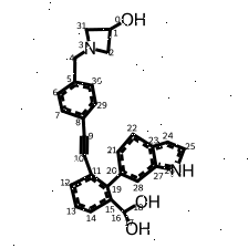 OC1CN(Cc2ccc(C#Cc3cccc(C(O)O)c3-c3ccc4cc[nH]c4c3)cc2)C1